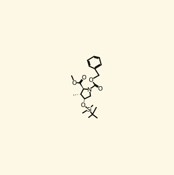 COC(=O)[C@@H]1[C@@H](C)[C@@H](O[Si](C)(C)C(C)(C)C)CN1C(=O)OCc1ccccc1